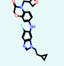 O=C1COc2cc(Nc3cc4c(cc3F)ncn4CCC3CC3)ccc2N1CC1COC1